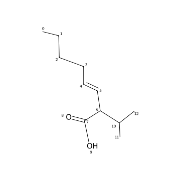 CCCCC=CC(C(=O)O)C(C)C